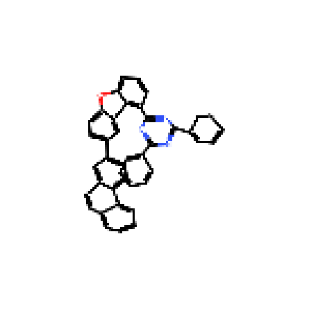 C1=CCCC(c2nc(-c3ccccc3)nc(-c3cccc4oc5ccc(-c6ccc7c(ccc8ccccc87)c6)cc5c34)n2)=C1